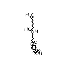 CCCCCCCCC(O)NCCCCCC(=O)Oc1ccc(S(=O)(=O)O)cc1